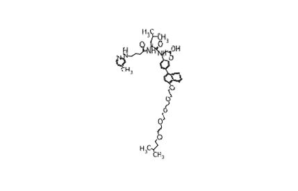 Cc1ccnc(NCCCC(=O)N[C@@H](CC(C)C)C(=O)N[C@@H](CC(=O)O)c2ccc(-c3ccc(OCCOCCOCCOCCOCCC(C)C)c4ccccc34)cc2)c1